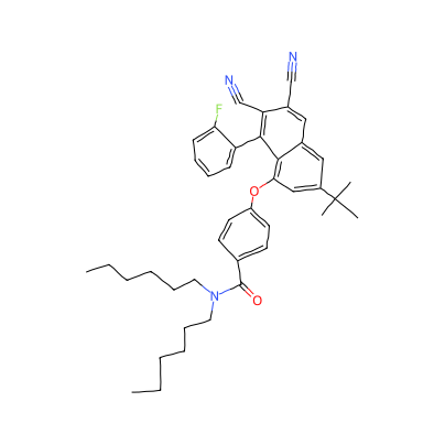 CCCCCCN(CCCCCC)C(=O)c1ccc(Oc2cc(C(C)(C)C)cc3cc(C#N)c(C#N)c(-c4ccccc4F)c23)cc1